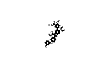 CCN(CC)c1cc2oc(-c3ccc(Oc4cccc(C)c4)cc3)c(C(=O)NC)c2cc1-c1ccc(OC)c(C(N)=O)c1